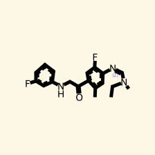 CCN(C)/C=N\c1cc(C)c(C(=O)CNc2cccc(F)c2)cc1F